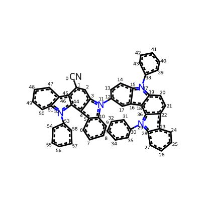 N#Cc1cc2c(c3ccccc3n2-c2ccc3c(c2)c2c(ccc4c5ccccc5n(-c5ccccc5)c42)n3-c2ccccc2)c2c1c1ccccc1n2-c1ccccc1